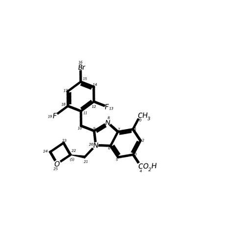 Cc1cc(C(=O)O)cc2c1nc(Cc1c(F)cc(Br)cc1F)n2C[C@@H]1CCO1